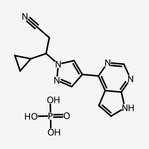 N#CCC(C1CC1)n1cc(-c2ncnc3[nH]ccc23)cn1.O=P(O)(O)O